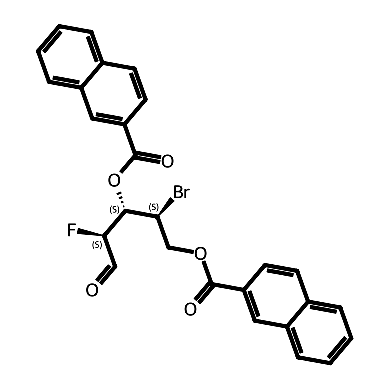 O=C[C@@H](F)[C@H](OC(=O)c1ccc2ccccc2c1)[C@@H](Br)COC(=O)c1ccc2ccccc2c1